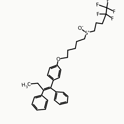 CCC(=C(c1ccccc1)c1ccc(OCCCCC[S+]([O-])CCCC(F)(F)C(F)(F)F)cc1)c1ccccc1